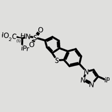 CC(C)c1cn(-c2ccc3c(c2)sc2cc(S(=O)(=O)N[C@H](C(=O)O)C(C)C)ccc23)nn1